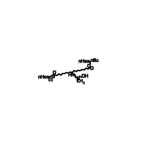 CCCCCCC(CC)COC(=O)CCCCCCCCC(CCCCCCCCC(=O)OCC(CCCC)CCCCCC)NCCN(C)CCO